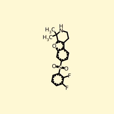 CC1(C)NCCc2c1oc1cc(S(=O)(=O)c3cccc(F)c3F)ccc21